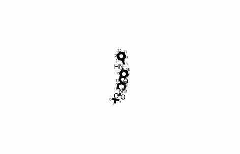 CC(C)(C)OC(=O)N1CCC2(CC1)Cc1cc(NCc3ccccc3)ccc1O2